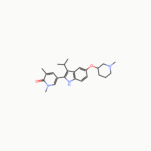 Cc1cc(-c2[nH]c3ccc(OC4CCCN(C)C4)cc3c2C(C)C)cn(C)c1=O